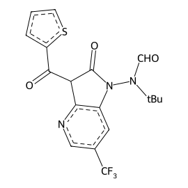 CC(C)(C)N(C=O)N1C(=O)C(C(=O)c2cccs2)c2ncc(C(F)(F)F)cc21